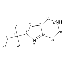 CCC(C)(C)n1cc2c(n1)CCNC2